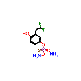 NOP(=S)(ON)Oc1ccc(O)c(CC(F)F)c1